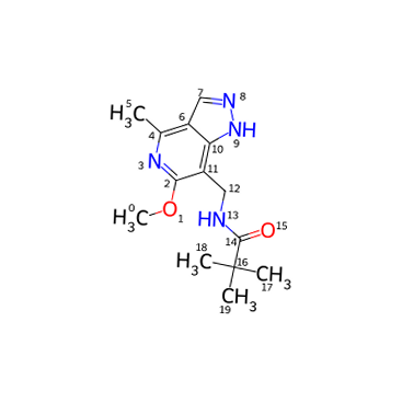 COc1nc(C)c2cn[nH]c2c1CNC(=O)C(C)(C)C